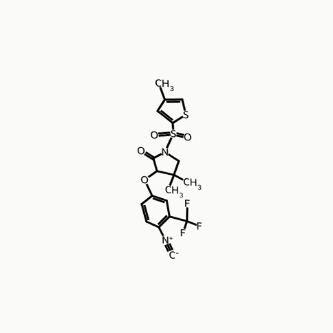 [C-]#[N+]c1ccc(OC2C(=O)N(S(=O)(=O)c3cc(C)cs3)CC2(C)C)cc1C(F)(F)F